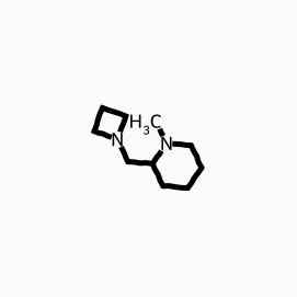 CN1CCCCC1CN1CCC1